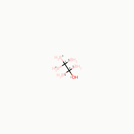 BC(B)(B)C(B)(B)O